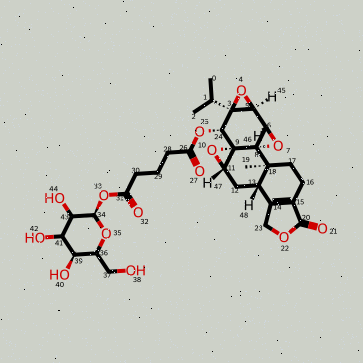 CC(C)[C@]12O[C@H]1[C@@H]1O[C@]13[C@]1(O[C@H]1C[C@H]1C4=C(CC[C@@]13C)C(=O)OC4)[C@@H]2OC(=O)CCCC(=O)O[C@H]1OC(CO)[C@@H](O)C(O)C1O